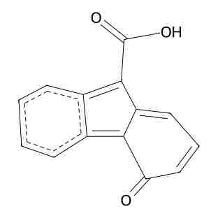 O=C(O)C1=c2ccccc2=C2C(=O)C=CC=C12